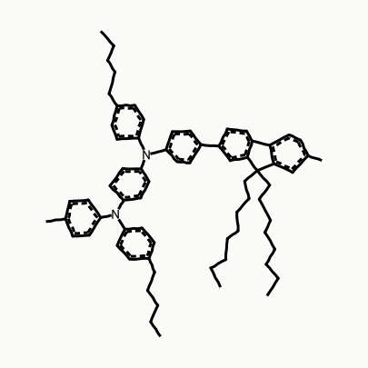 CCCCCCCCC1(CCCCCCCC)c2cc(C)ccc2-c2ccc(-c3ccc(N(c4ccc(CCCCC)cc4)c4ccc(N(c5ccc(C)cc5)c5ccc(CCCCC)cc5)cc4)cc3)cc21